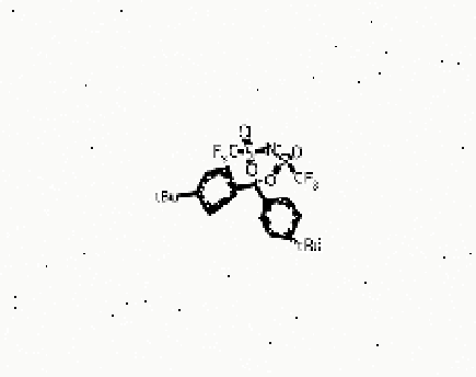 CC(C)(C)c1ccc([I+]c2ccc(C(C)(C)C)cc2)cc1.O=S(=O)([N-]S(=O)(=O)C(F)(F)F)C(F)(F)F